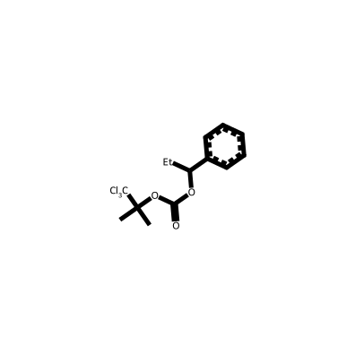 CCC(OC(=O)OC(C)(C)C(Cl)(Cl)Cl)c1ccccc1